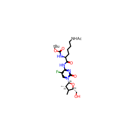 CC(=O)NCCCCC(NC(=O)OC(C)(C)C)C(=O)Nc1nc(=O)n([C@@H]2O[C@H](CO)C(C)[C@@H]2C)cc1F